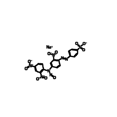 O=NN(c1ccc(N=Nc2ccc(S(=O)(=O)[O-])cc2)c([N+](=O)[O-])c1)c1ccc([N+](=O)[O-])cc1[N+](=O)[O-].[Na+]